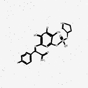 CCc1c(C#N)c(OP(=O)(O)OC2CCNC2)nc(SC(C(N)=O)c2ccc(F)cc2)c1C#N